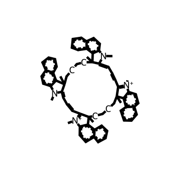 CN1C2=CC=CC3=[N+](C)c4ccc5ccccc5c4C3(C)CCCCC3(C)C(=[N+](C)c4ccc5ccccc5c43)C=CC=C3N(C)c4ccc5ccccc5c4C3(C)CCCCC2(C)c2c1ccc1ccccc21